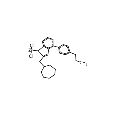 CCCc1ccc(-c2cccc3c2C=C(CC2CCCCCC2)[CH]3[Zr]([Cl])[Cl])cc1